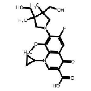 COc1c(N2CC(C)(CO)C(C)(CO)C2)c(F)cc2c(=O)c(C(=O)O)cn(C3CC3)c12